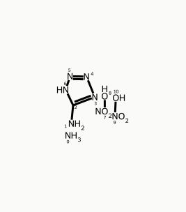 N.Nc1nnn[nH]1.O=[N+]([O-])O.O=[N+]([O-])O